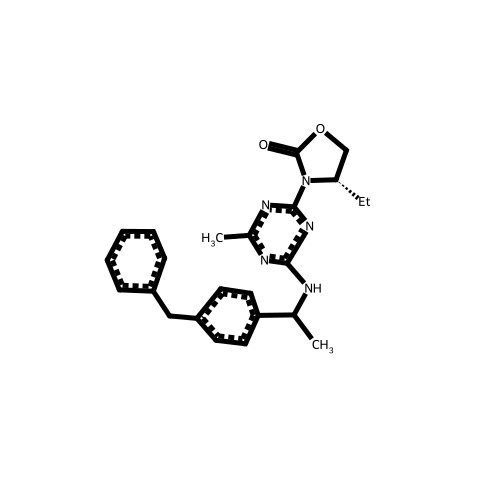 CC[C@H]1COC(=O)N1c1nc(C)nc(NC(C)c2ccc(Cc3ccccc3)cc2)n1